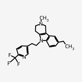 CCc1ccc2c(c1)c1c(n2CCc2ccc(C(F)(F)F)nc2)CCN(C)C1